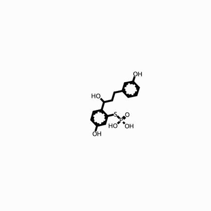 O=P(O)(O)Sc1cc(O)ccc1C(O)CCc1cccc(O)c1